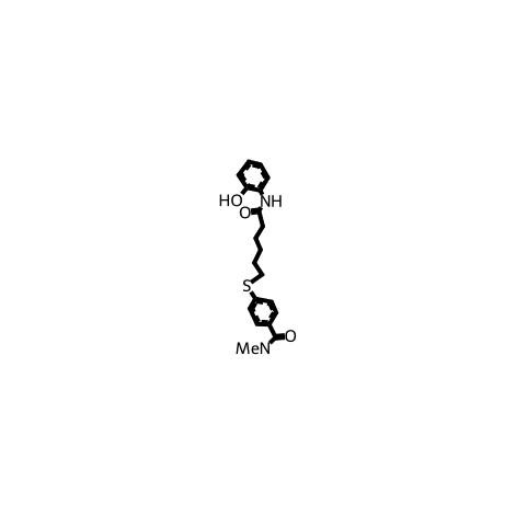 CNC(=O)c1ccc(SCCCCCC(=O)Nc2ccccc2O)cc1